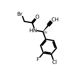 C#C[C@H](NC(=O)CBr)c1ccc(Cl)c(F)c1